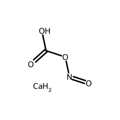 O=NOC(=O)O.[CaH2]